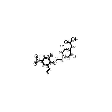 C=Cc1cc([N+](=O)[O-])cc(F)c1OCCN1C[C@@H](C)N(CC(=O)O)[C@@H](C)C1